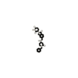 O=C1CCC(N2Cc3cc(CNC4CCN(Cc5ccccc5)C(=O)C4)ccc3C2=O)C(=O)N1